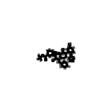 CC(C)(C)OC(=O)c1cccc(NC(=O)[C@H](Cc2ccccc2)N2CCN(c3cc(Cl)ccc3-n3cnnn3)C(=O)C2=O)c1